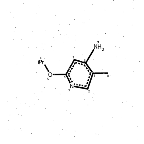 Cc1cnc(OC(C)C)cc1N